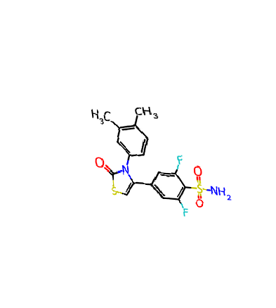 Cc1ccc(-n2c(-c3cc(F)c(S(N)(=O)=O)c(F)c3)csc2=O)cc1C